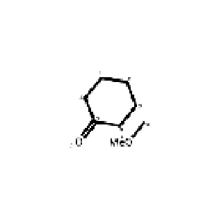 COC.O=C1CCCCC1